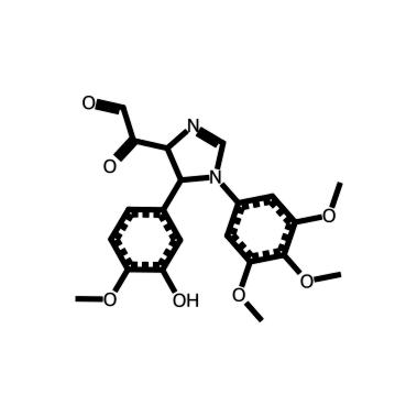 COc1ccc(C2C(C(=O)C=O)N=CN2c2cc(OC)c(OC)c(OC)c2)cc1O